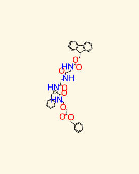 O=C(CNC(=O)OCC1c2ccccc2-c2ccccc21)NCC(=O)N[C@@H](Cc1ccccc1)C(=O)NCOCC(=O)OCc1ccccc1